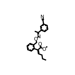 CCC/C=C(\C(=O)OC)c1ccccc1CO/N=C(\C)c1cccc(C#N)c1